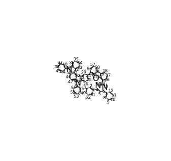 c1ccc(-c2cc(-c3ccccc3)nc(-c3cccc4c3oc3c(-c5ccc6c(c5)c5c7c8ccccc8n(-c8ccccc8)c7ccc5n6-c5ccccc5)cccc34)n2)cc1